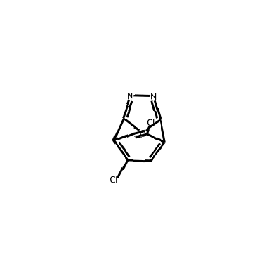 Clc1cc2c(Cl)cc1-c1nnc-2o1